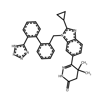 CC1(C)CC(=O)NN=C1c1ccc2nc(C3CC3)n(Cc3ccccc3-c3ccccc3-c3nnn[nH]3)c2c1